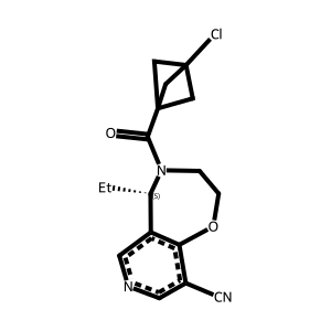 CC[C@H]1c2cncc(C#N)c2OCCN1C(=O)C12CC(Cl)(C1)C2